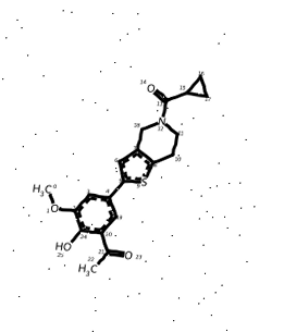 COc1cc(-c2cc3c(s2)CCN(C(=O)C2CC2)C3)cc(C(C)=O)c1O